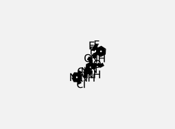 CCOc1nc2[nH]c(Nc3c(Cl)cncc3Cl)nc2cc1C(=O)NCc1ccccc1C(F)(F)F